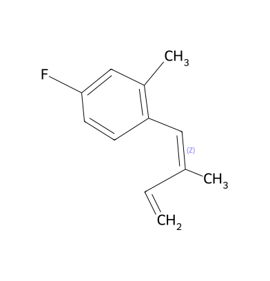 C=C/C(C)=C\c1ccc(F)cc1C